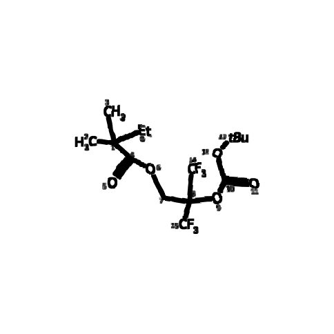 CCC(C)(C)C(=O)OCC(OC(=O)OC(C)(C)C)(C(F)(F)F)C(F)(F)F